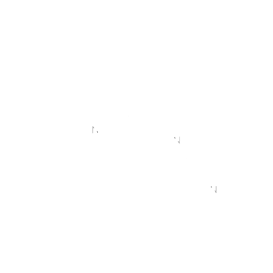 CCCCc1ccc(CCn2c3c(c4cc(C)ccc42)CN(C)CC3)cn1